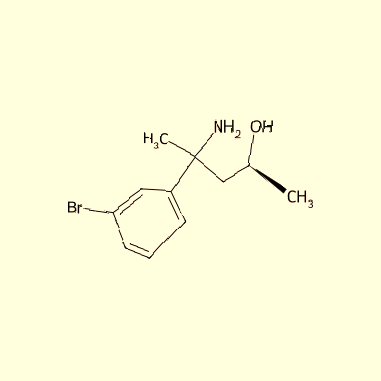 C[C@H](O)CC(C)(N)c1cccc(Br)c1